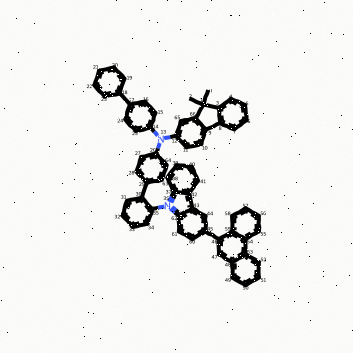 CC1(C)c2ccccc2-c2ccc(N(c3ccc(-c4ccccc4)cc3)c3ccc(-c4ccccc4-n4c5ccccc5c5cc(-c6cc7ccccc7c7ccccc67)ccc54)cc3)cc21